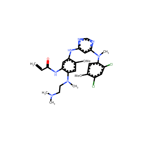 C=CC(=O)Nc1cc(Nc2cc(N(C)c3cc(OC)c(Cl)cc3Cl)ncn2)c(OC)cc1N(C)CCN(C)C